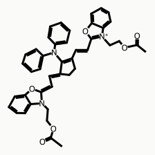 CC(=O)OCCN1/C(=C/C=C2\CCC(/C=C/c3oc4ccccc4[n+]3CCOC(C)=O)=C2N(c2ccccc2)c2ccccc2)Oc2ccccc21